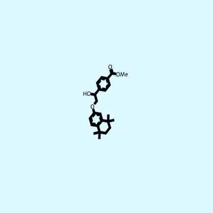 COC(=O)c1ccc(C(O)COc2ccc3c(c2)C(C)(C)CCC3(C)C)cc1